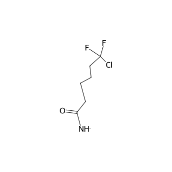 [NH]C(=O)CCCCC(F)(F)Cl